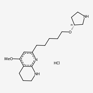 COc1cc(CCCCCO[C@@H]2CCNC2)nc2c1CCCN2.Cl